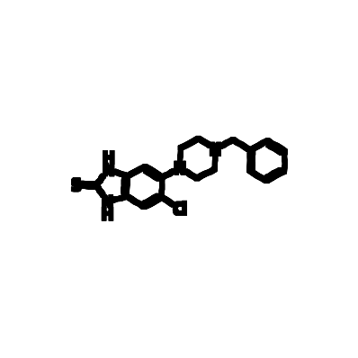 S=c1[nH]c2cc(Cl)c(N3CCN(Cc4ccccc4)CC3)cc2[nH]1